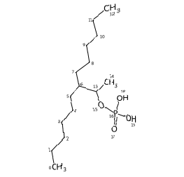 CCCCCCC(CCCCCC)C(C)OP(=O)(O)O